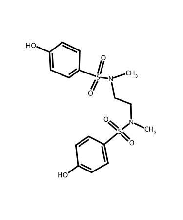 CN(CCN(C)S(=O)(=O)c1ccc(O)cc1)S(=O)(=O)c1ccc(O)cc1